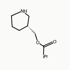 CC(C)C(=O)OC[C@@H]1CCCNC1